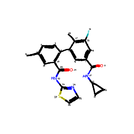 Cc1ccc(-c2cc(C(=O)NC3CC3)cc(F)c2C)c(C(=O)Nc2nccs2)c1